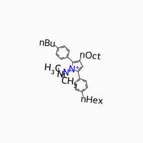 CCCCCCCCC1=C(c2ccc(CCCC)cc2)[N+](=[N-])C(c2ccc(CCCCCC)cc2)=C1.[CH3][Ni][CH3]